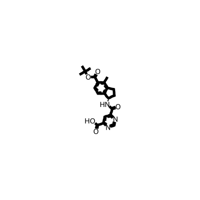 Cc1c(C(=O)OC(C)(C)C)ccc2c1CC[C@@H]2NC(=O)c1cc(C(=O)O)ncn1